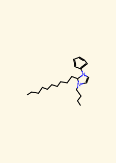 CCCCCCCCCCC1N(CCCC)C=CN1c1ccccc1